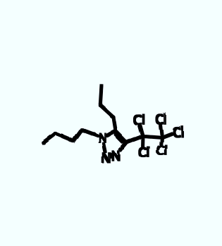 CCCCn1nnc(C(Cl)(Cl)C(Cl)(Cl)Cl)c1CCC